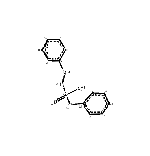 O=P(O)(OOc1ccccc1)Oc1ccccc1